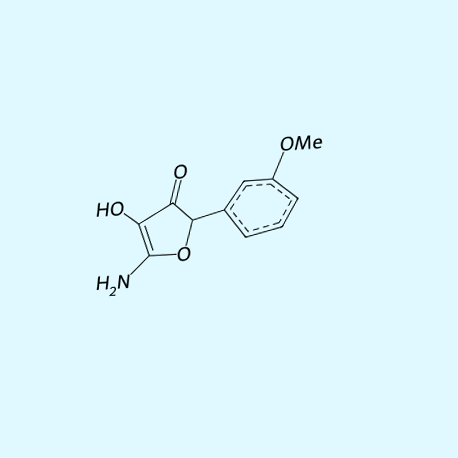 COc1cccc(C2OC(N)=C(O)C2=O)c1